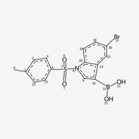 Cc1ccc(S(=O)(=O)n2cc(B(O)O)c3cc(Br)ccc32)cc1